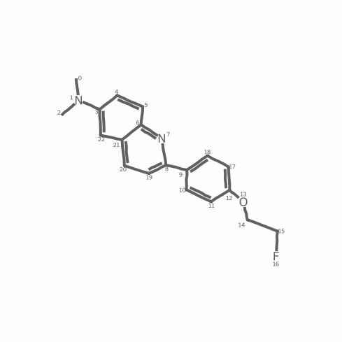 CN(C)c1ccc2nc(-c3ccc(OCCF)cc3)ccc2c1